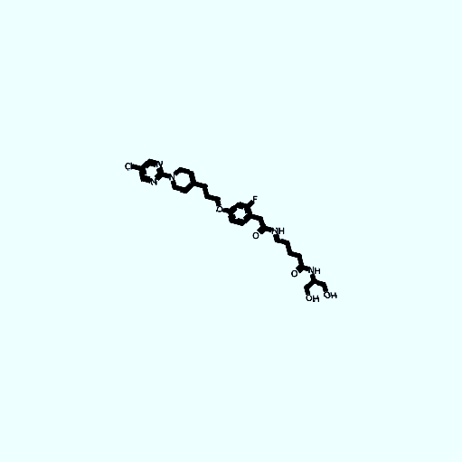 O=C(Cc1ccc(OCCCC2CCN(c3ncc(Cl)cn3)CC2)cc1F)NCCCCC(=O)NC(CO)CO